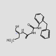 C=C(NC(=O)Nc1ccccc1Cc1ccccc1)N/C(=C\S)CC(=O)O